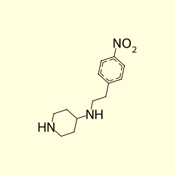 O=[N+]([O-])c1ccc(CCNC2CCNCC2)cc1